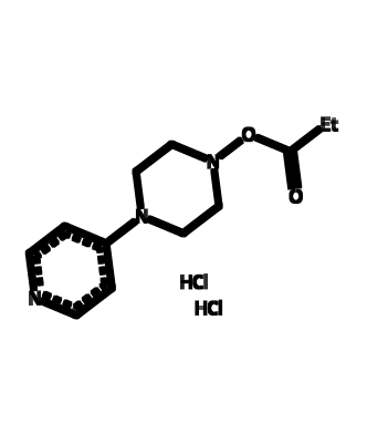 CCC(=O)ON1CCN(c2ccncc2)CC1.Cl.Cl